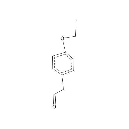 CCOc1ccc(CC=O)cc1